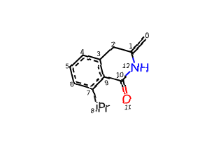 C=C1Cc2cccc(C(C)C)c2C(=O)N1